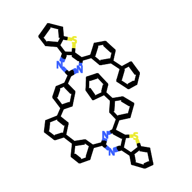 c1ccc(-c2cccc(-c3nc(-c4ccc(-c5cccc(-c6cccc(-c7nc(-c8cccc(-c9ccccc9)c8)c8sc9ccccc9c8n7)c6)c5)cc4)nc4c3sc3ccccc34)c2)cc1